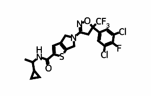 CC(NC(=O)c1cc2c(s1)CN(C1=NOC(c3cc(Cl)c(F)c(Cl)c3)(C(F)(F)F)C1)C2)C1CC1